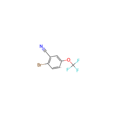 N#Cc1cc(OC(F)(F)F)[c]cc1Br